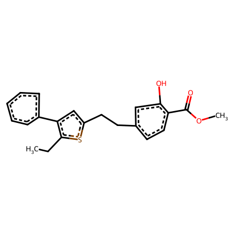 CCc1sc(CCc2ccc(C(=O)OC)c(O)c2)cc1-c1ccccc1